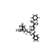 C[C@H](N)C(=O)N[C@H](/C=C/C(=O)N(C)C1CCCCC1)CCc1ccccc1.O=C(O)C(F)(F)F